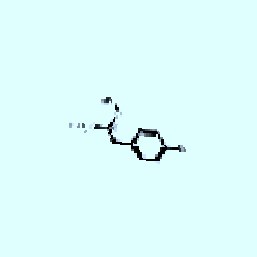 CCCO[C@@H](Cc1ccc(Br)cc1)C(=O)O